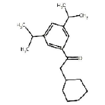 CC(C)c1[c]c(C(C)C)cc(C(=O)CC2CCCCC2)c1